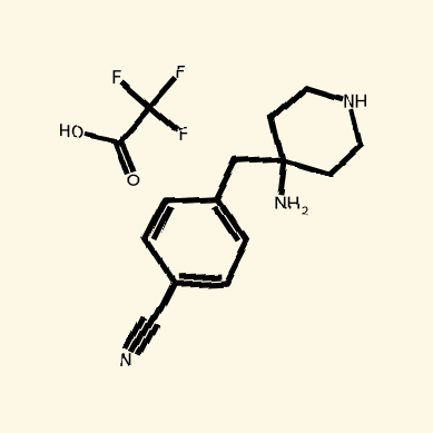 N#Cc1ccc(CC2(N)CCNCC2)cc1.O=C(O)C(F)(F)F